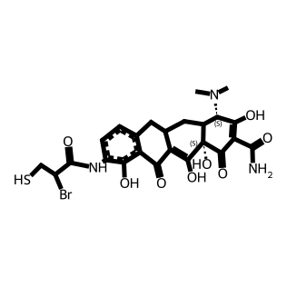 CN(C)[C@@H]1C(O)=C(C(N)=O)C(=O)[C@@]2(O)C(O)=C3C(=O)c4c(ccc(NC(=O)C(Br)CS)c4O)CC3CC12